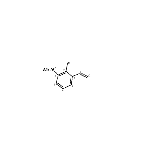 C=Cc1cccc(NC)c1C